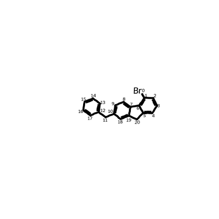 Brc1cccc2c1-c1ccc(Cc3ccccc3)cc1C2